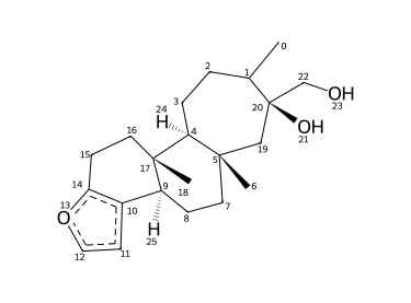 CC1CC[C@H]2[C@@](C)(CC[C@H]3c4ccoc4CC[C@@]32C)C[C@@]1(O)CO